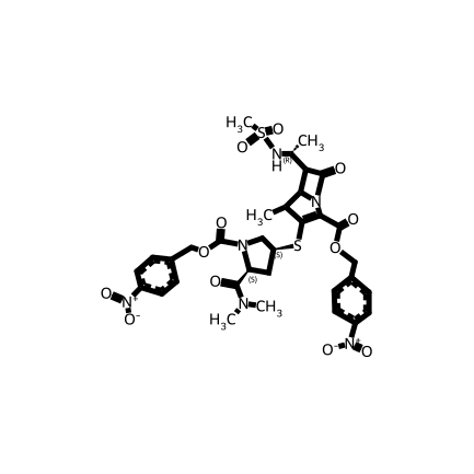 CC1C(S[C@H]2C[C@@H](C(=O)N(C)C)N(C(=O)OCc3ccc([N+](=O)[O-])cc3)C2)=C(C(=O)OCc2ccc([N+](=O)[O-])cc2)N2C(=O)C([C@@H](C)NS(C)(=O)=O)C12